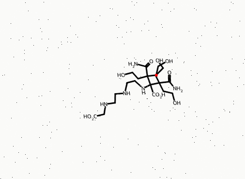 NC(=O)C(CCO)(CCO)C(NCCNCCNCC(=O)O)(C(=O)O)C(CCO)(CCO)C(N)=O